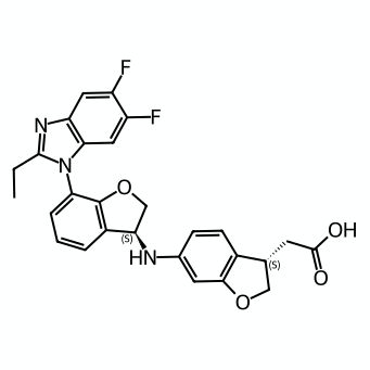 CCc1nc2cc(F)c(F)cc2n1-c1cccc2c1OC[C@H]2Nc1ccc2c(c1)OC[C@H]2CC(=O)O